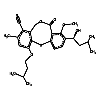 COc1c([C@@H](O)CC(C)C)ccc2c1C(=O)OCc1c(C#N)c(C)cc(OCCC(C)C)c1O2